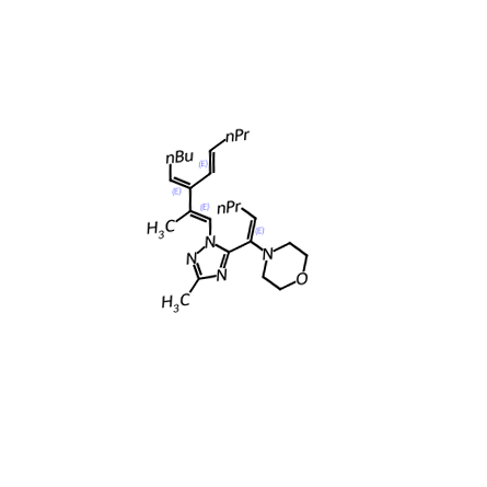 CCC/C=C/C(=C\CCCC)C(/C)=C/n1nc(C)nc1/C(=C\CCC)N1CCOCC1